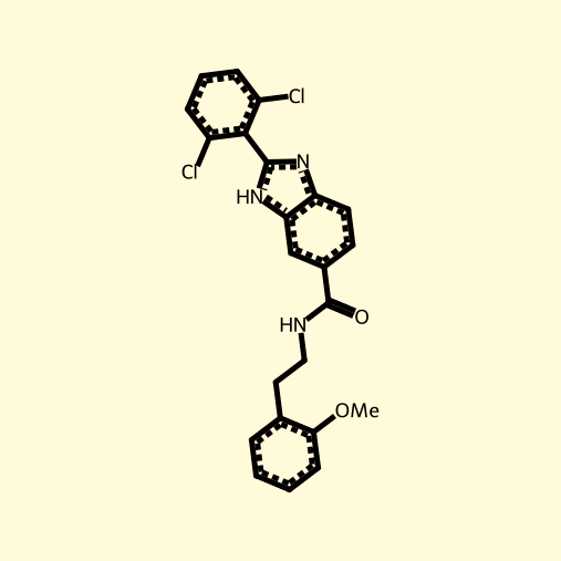 COc1ccccc1CCNC(=O)c1ccc2nc(-c3c(Cl)cccc3Cl)[nH]c2c1